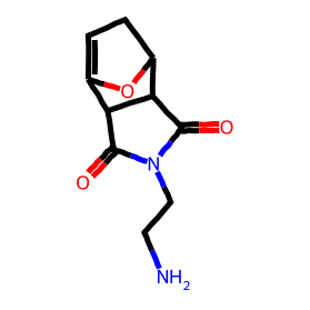 NCCN1C(=O)C2C3=CCC(O3)C2C1=O